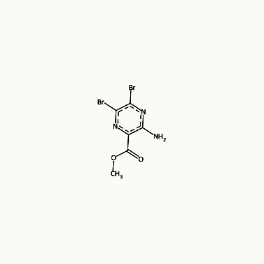 COC(=O)c1nc(Br)c(Br)nc1N